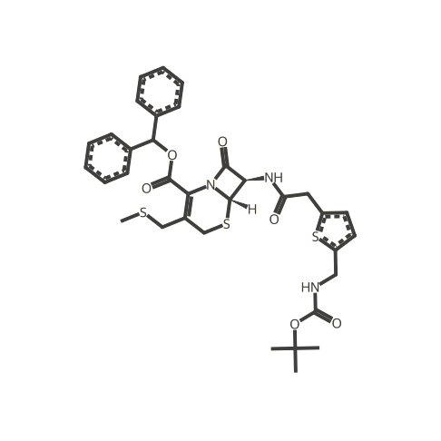 CSCC1=C(C(=O)OC(c2ccccc2)c2ccccc2)N2C(=O)[C@@H](NC(=O)Cc3ccc(CNC(=O)OC(C)(C)C)s3)[C@@H]2SC1